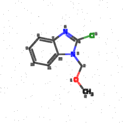 COCn1c(Cl)nc2ccccc21